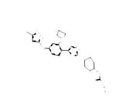 Cc1cc(Nc2ccc(-c3cnc([C@H]4CC[C@H](NC(=O)OC(C)C)CC4)s3)c(P3(=O)CCC3)c2)n[nH]1